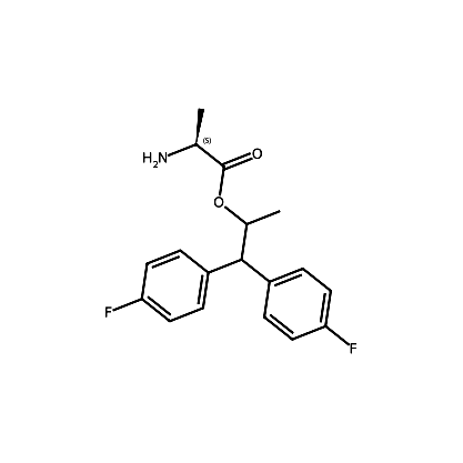 CC(OC(=O)[C@H](C)N)C(c1ccc(F)cc1)c1ccc(F)cc1